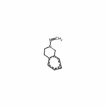 C=NN1CCc2ccccc2C1